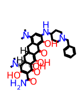 CN(C)c1cc(NC2CCN(Cc3ccccc3)CC2)c(O)c2c1C[C@@H]1C[C@@H]3[C@@H](N(C)C)C(O)=C(C(N)=O)C(=O)[C@]3(O)C(O)=C1C2=O